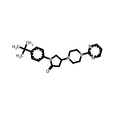 CC(C)(C)c1ccc(N2CC(N3CCN(c4ncccn4)CC3)CC2=O)cc1